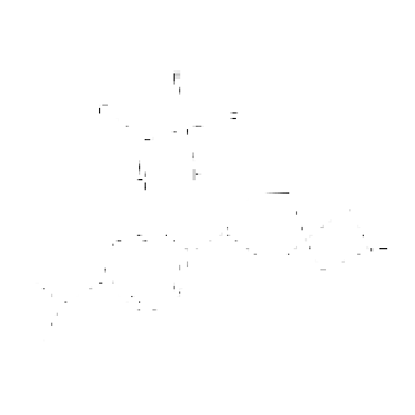 CC(C)c1ccc(C2CCC3(CNC3)C2)cc1.O=C(O)C(F)(F)F